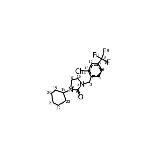 O=C1N(Cc2ccc(C(F)(F)F)cc2Cl)CCN1C1CCCCC1